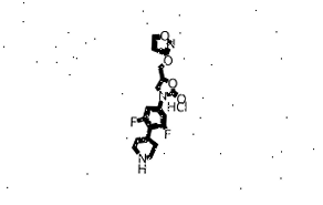 Cl.O=C1OC(COc2ccon2)CN1c1cc(F)c(C2=CCNCC2)c(F)c1